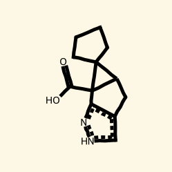 O=C(O)C12c3n[nH]cc3CC1C21CCCC1